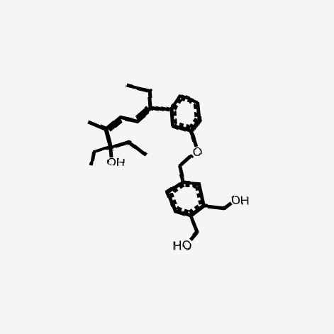 CCC(=CC=C(C)C(O)(CC)CC)c1cccc(OCc2ccc(CO)c(CO)c2)c1